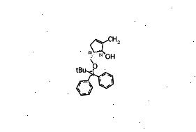 CC1=CC[C@@H](CO[Si](c2ccccc2)(c2ccccc2)C(C)(C)C)[C@@H]1O